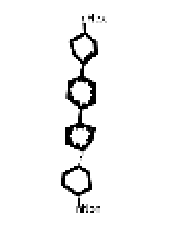 CCCCCCCCC[C@H]1CC[C@H](c2ccc(-c3ccc(C4=CCC(CCCCCC)CC4)cc3)cc2)CC1